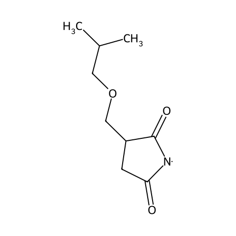 CC(C)COCC1CC(=O)[N]C1=O